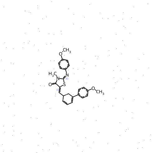 COc1ccc(/N=C2/S/C(=C\C3C=CC=C(c4ccc(OC)cc4)C3)C(=O)N2C)cc1